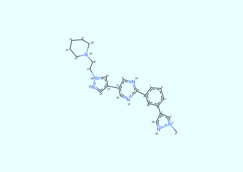 Cn1cc(-c2cccc(-c3ncc(-c4cnn(CCN5CCCCC5)c4)cn3)c2)cn1